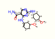 CO[C@H]1CCC=C(Nc2nc(N[C@H]3CC[C@H](OC)CC3)ncc2C(N)=O)C1